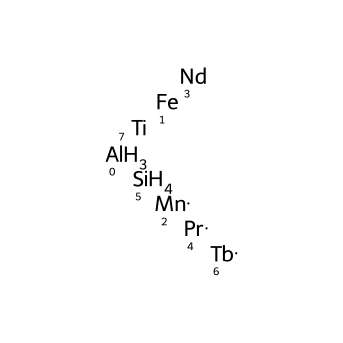 [AlH3].[Fe].[Mn].[Nd].[Pr].[SiH4].[Tb].[Ti]